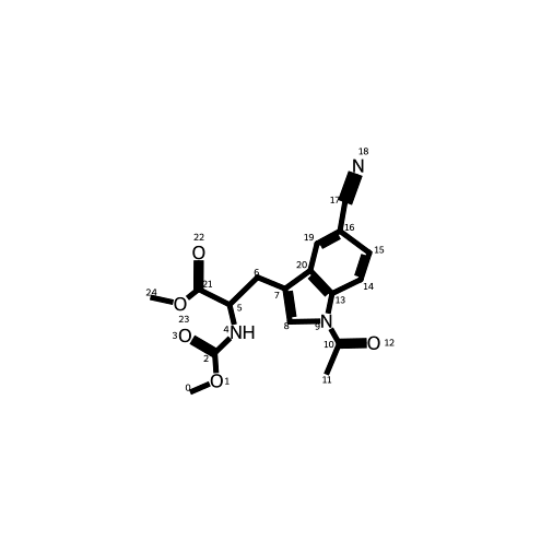 COC(=O)NC(Cc1cn(C(C)=O)c2ccc(C#N)cc12)C(=O)OC